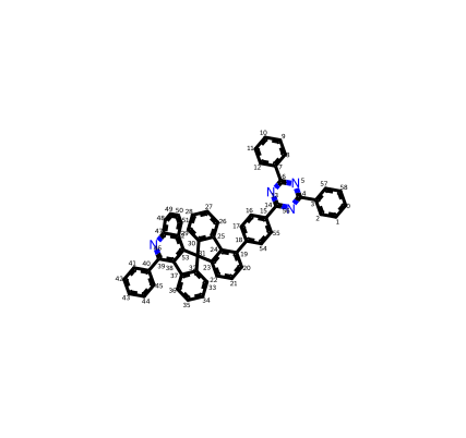 c1ccc(-c2nc(-c3ccccc3)nc(-c3ccc(-c4cccc5c4-c4ccccc4C54c5ccccc5-c5c(-c6ccccc6)nc6ccccc6c54)cc3)n2)cc1